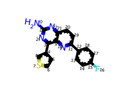 Nc1nc(-c2ccsc2)c2nc(-c3ccc(F)cc3)ccc2n1